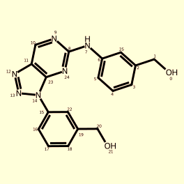 OCc1cccc(Nc2ncc3nnn(-c4cccc(CO)c4)c3n2)c1